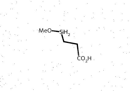 CO[SiH2]CCC(=O)O